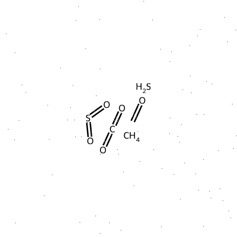 C.C=O.O=C=O.O=S=O.S